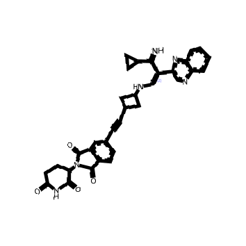 N=C(/C(=C\NC1CC(C#Cc2ccc3c(c2)C(=O)N(C2CCC(=O)NC2=O)C3=O)C1)c1cnc2ccccc2n1)C1CC1